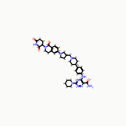 NC(=O)c1nnc(N2CCCCC2)nc1Nc1ccc(C2CCN(CC3CCN(c4ccc5c(c4)CCN(C4CCC(=O)NC4=O)C5=O)C3)CC2)cc1